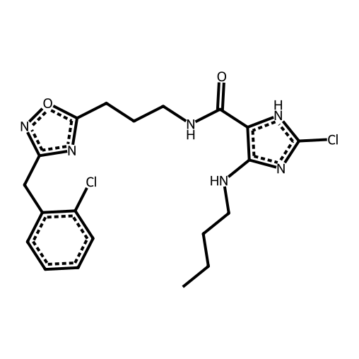 CCCCNc1nc(Cl)[nH]c1C(=O)NCCCc1nc(Cc2ccccc2Cl)no1